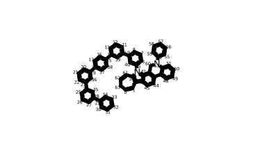 C1=Cc2c(n(-c3cccc(-c4cccc(-c5ccc(-c6cccc(-c7cccc(-c8ccccc8)c7)c6)cc5)c4)c3)c3c4c(ccc23)-c2ccccc2N(c2ccccc2)C4)C=CC1